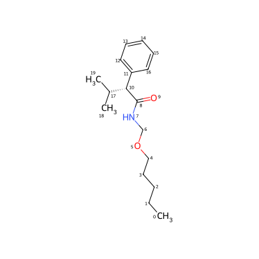 CCCCCOCNC(=O)[C@@H](c1ccccc1)C(C)C